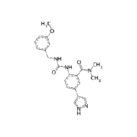 COc1cccc(CNC(=O)Nc2ccc(-c3cn[nH]c3)cc2C(=O)N(C)C)c1